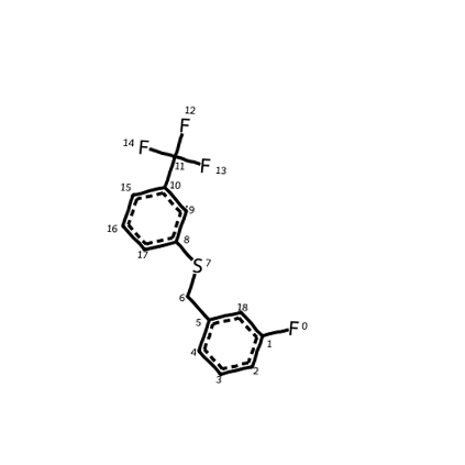 Fc1cccc(CSc2[c]c(C(F)(F)F)ccc2)c1